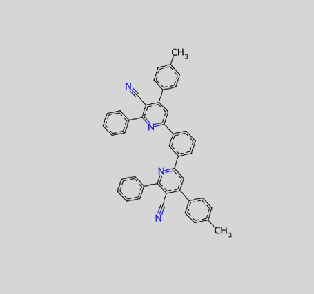 Cc1ccc(-c2cc(-c3cccc(-c4cc(-c5ccc(C)cc5)c(C#N)c(-c5ccccc5)n4)c3)nc(-c3ccccc3)c2C#N)cc1